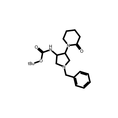 CC(C)(C)OC(=O)NC1CN(Cc2ccccc2)CC1N1CCCCC1=O